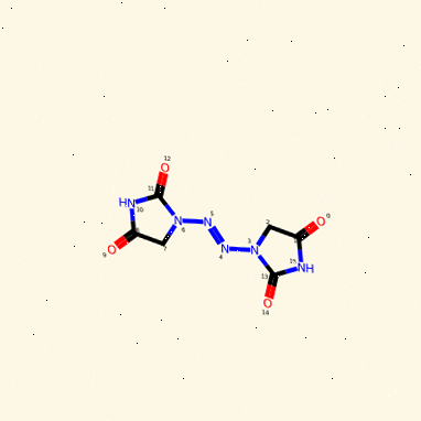 O=C1CN(N=NN2CC(=O)NC2=O)C(=O)N1